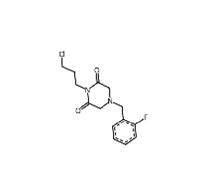 O=C1CN(Cc2ccccc2F)CC(=O)N1CCCCl